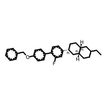 CCC1CC[C@@H]2C[C@H](c3ccc(-c4ccc(OCc5ccccc5)cc4)c(F)c3)CC[C@@H]2C1